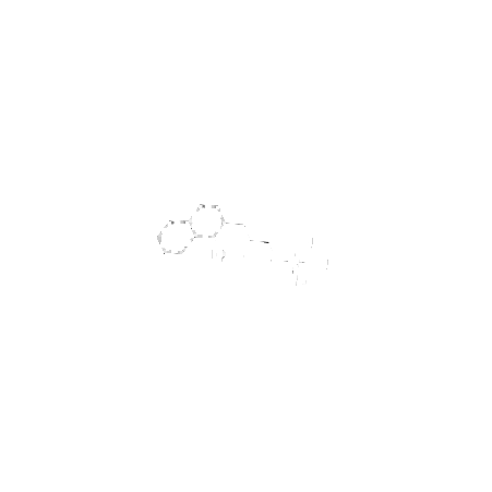 CC(C)(C)[Si](C)(C)OCC(O)Cc1ccc2ccccc2c1O